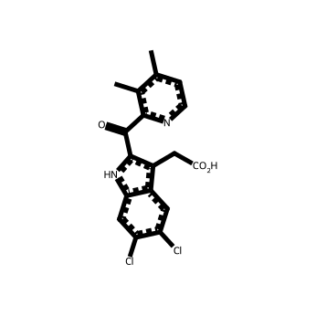 Cc1ccnc(C(=O)c2[nH]c3cc(Cl)c(Cl)cc3c2CC(=O)O)c1C